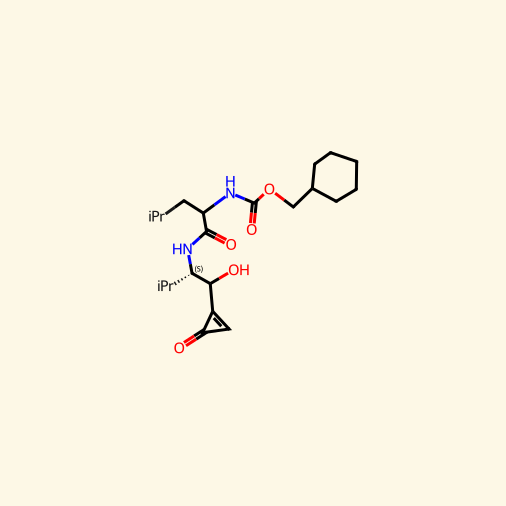 CC(C)CC(NC(=O)OCC1CCCCC1)C(=O)N[C@@H](C(C)C)C(O)c1cc1=O